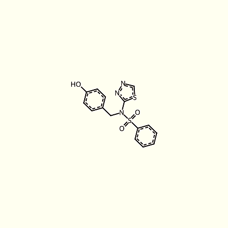 O=S(=O)(c1ccccc1)N(Cc1ccc(O)cc1)c1nncs1